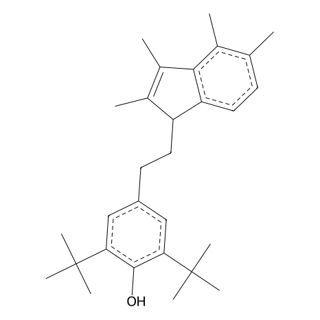 CC1=C(C)C(CCc2cc(C(C)(C)C)c(O)c(C(C)(C)C)c2)c2ccc(C)c(C)c21